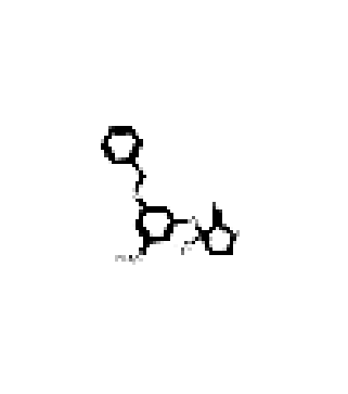 C[C@]1(Oc2cc(OCc3ccccc3)cc(C(=O)O)c2)CCNC1=O